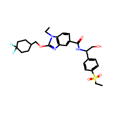 CCn1c(OCC2CCC(F)(F)CC2)nc2cc(C(=O)NC(CO)c3ccc(S(=O)(=O)CC)cc3)ccc21